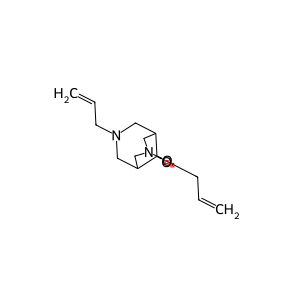 C=CCN1CC2CN(CC=C)CC(C1)C21OCCO1